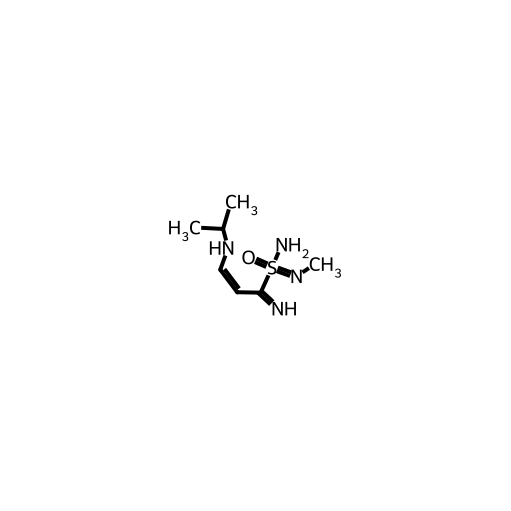 CN=S(N)(=O)C(=N)/C=C\NC(C)C